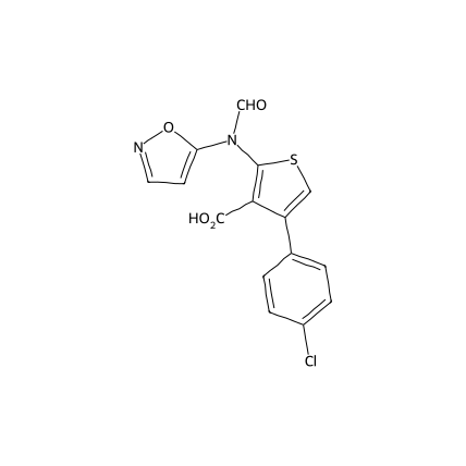 O=CN(c1ccno1)c1scc(-c2ccc(Cl)cc2)c1C(=O)O